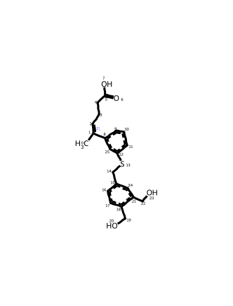 C/C(=C/CCC(=O)O)c1cccc(SCc2ccc(CO)c(CO)c2)c1